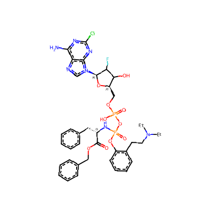 CCN(CC)CCc1ccccc1OP(=O)(N[C@@H](Cc1ccccc1)C(=O)OCc1ccccc1)OP(=O)(O)OC[C@H]1O[C@@H](n2cnc3c(N)nc(Cl)nc32)C(F)C1O